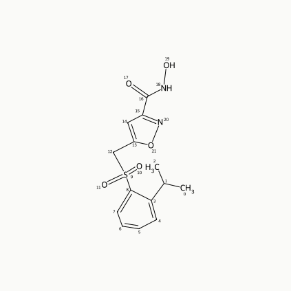 CC(C)c1ccccc1S(=O)(=O)Cc1cc(C(=O)NO)no1